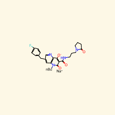 CCCCn1c(=O)c(C(=O)NCCCN2CCCC2=O)c([O-])c2ncc(Cc3ccc(F)cc3)cc21.[Na+]